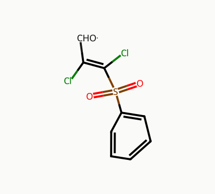 O=[C]C(Cl)=C(Cl)S(=O)(=O)c1ccccc1